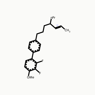 C/C=C/C(CCC)CCCc1ccc(-c2ccc(OC)c(F)c2F)cc1